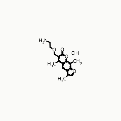 Cc1coc2c(C)c3oc(=O)c(COCCN)c(C)c3cc12.Cl